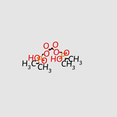 CC(C)P(=O)(O)COC(=O)C(=O)OCP(=O)(O)C(C)C